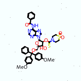 COc1ccc(C(OC[C@H]2O[C@@H](n3cnc4c(NC(=O)c5ccccc5)ncnc43)C(OC(=S)N3CCS(=O)(=O)CC3)C2O)(c2ccccc2)c2ccc(OC)cc2)cc1